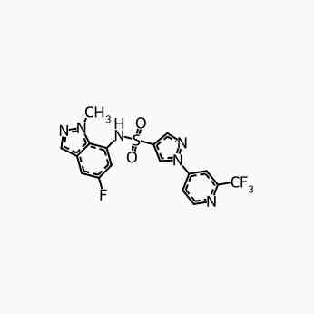 Cn1ncc2cc(F)cc(NS(=O)(=O)c3cnn(-c4ccnc(C(F)(F)F)c4)c3)c21